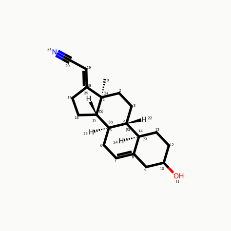 C[C@]12CC[C@H]3[C@@H](CC=C4CC(O)CC[C@@H]43)[C@@H]1CCC2=CC#N